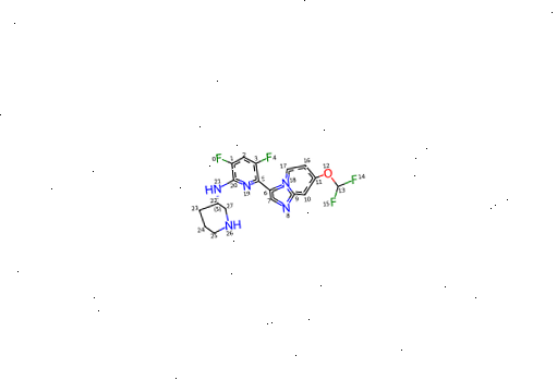 Fc1cc(F)c(-c2cnc3cc(OC(F)F)ccn23)nc1N[C@H]1CCCNC1